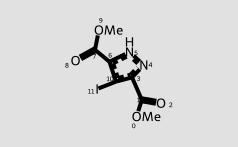 COC(=O)c1n[nH]c(C(=O)OC)c1I